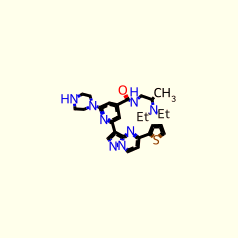 CCN(CC)C(C)CNC(=O)c1cc(-c2cnn3ccc(-c4cccs4)nc23)nc(N2CCNCC2)c1